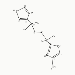 CC(C)(C)c1coc(C(C)(C)CCC(C)(C)c2cscn2)n1